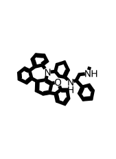 CNCC(NC1=CCCC(N2c3ccccc3-c3ccccc3-c3ccc4c(oc5ccccc54)c32)C1)c1ccccc1